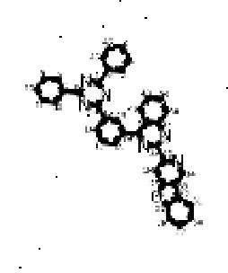 c1ccc(-c2nc(-c3ccccc3)nc(-c3cccc(-c4nc(-c5cc6oc7ccccc7c6cn5)nc5ccccc45)c3)n2)cc1